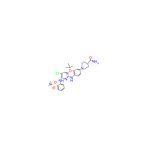 CN(C)S(=O)(=O)c1ccccc1Nc1nc(Nc2ccc(N3CCC(C(N)=O)CC3)cc2OC(C)(C)C)ncc1Cl